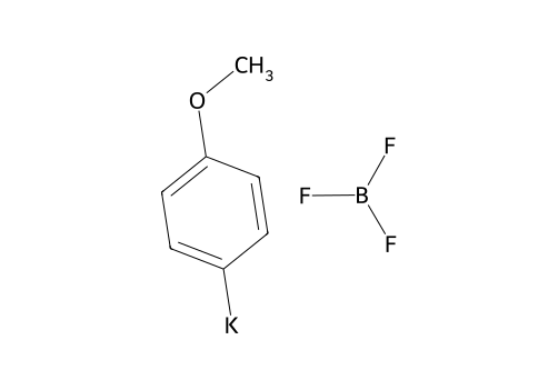 COc1cc[c]([K])cc1.FB(F)F